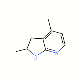 Cc1ccnc2c1CC(C)N2